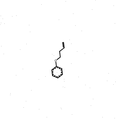 C=CCCOc1[c]cccc1